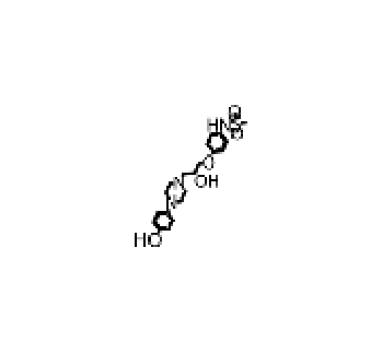 CS(=O)(=O)Nc1ccc(OCC(O)CN2CCN(c3ccc(O)cc3)CC2)cc1